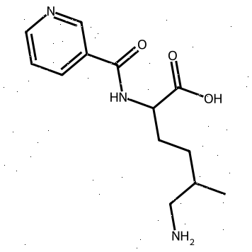 CC(CN)CCC(NC(=O)c1cccnc1)C(=O)O